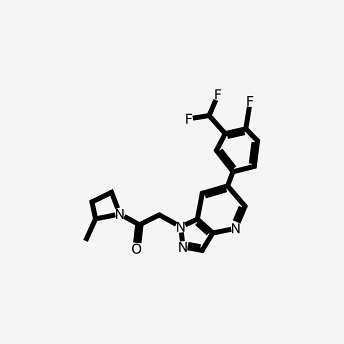 CC1CCN1C(=O)Cn1ncc2ncc(-c3ccc(F)c(C(F)F)c3)cc21